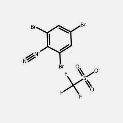 N#[N+]c1c(Br)cc(Br)cc1Br.O=S(=O)([O-])C(F)(F)F